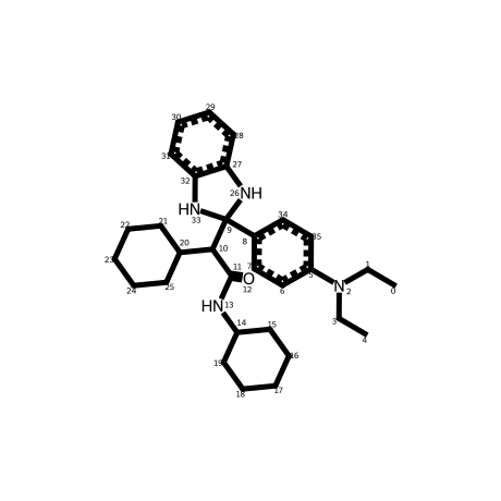 CCN(CC)c1ccc(C2(C(C(=O)NC3CCCCC3)C3CCCCC3)Nc3ccccc3N2)cc1